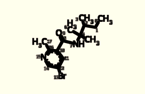 CCC(C)C(C)(C)NC(=O)c1cc(Br)cnc1C